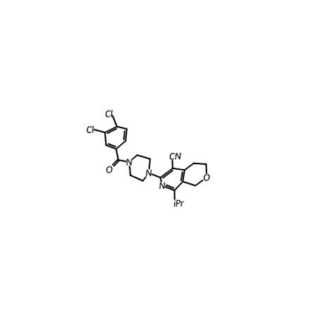 CC(C)c1nc(N2CCN(C(=O)c3ccc(Cl)c(Cl)c3)CC2)c(C#N)c2c1COCC2